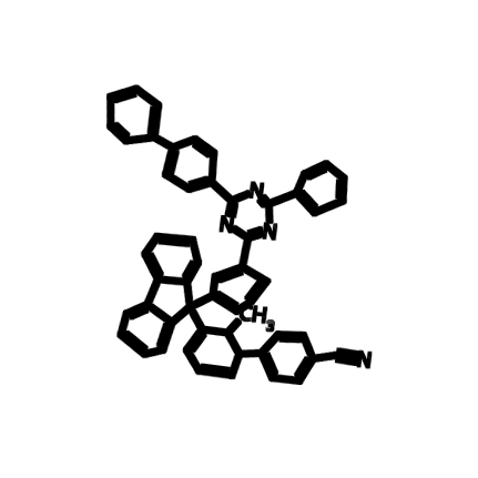 CC1C(C2(c3cccc(-c4nc(-c5ccccc5)nc(-c5ccc(-c6ccccc6)cc5)n4)c3)c3ccccc3-c3ccccc32)=CC=CC1c1ccc(C#N)cc1